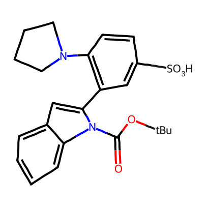 CC(C)(C)OC(=O)n1c(-c2cc(S(=O)(=O)O)ccc2N2CCCC2)cc2ccccc21